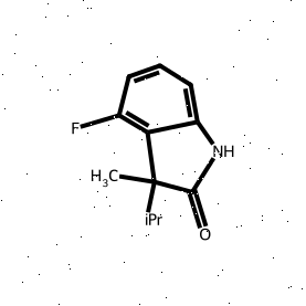 CC(C)C1(C)C(=O)Nc2cccc(F)c21